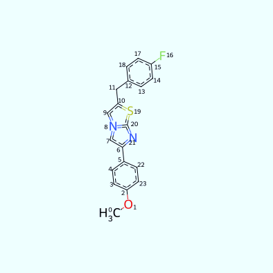 COc1ccc(-c2cn3cc(Cc4ccc(F)cc4)sc3n2)cc1